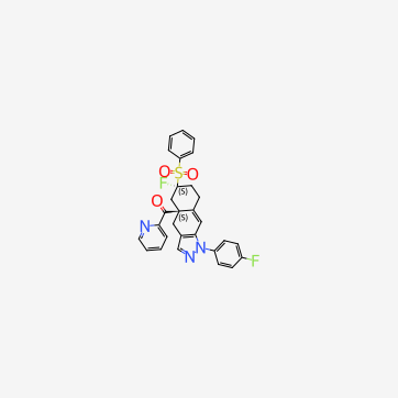 O=C(c1ccccn1)[C@]12Cc3cnn(-c4ccc(F)cc4)c3C=C1CC[C@](F)(S(=O)(=O)c1ccccc1)C2